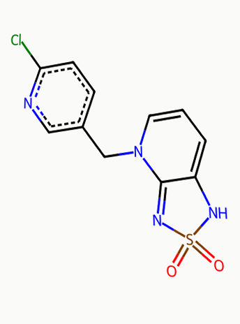 O=S1(=O)N=C2C(=CC=CN2Cc2ccc(Cl)nc2)N1